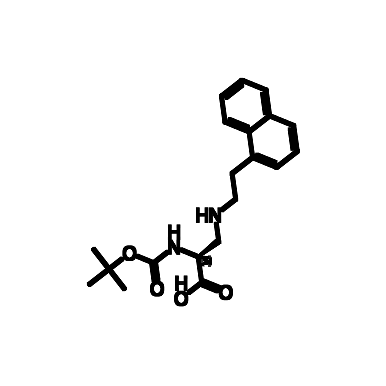 CC(C)(C)OC(=O)N[C@@H](CNCCc1cccc2ccccc12)C(=O)O